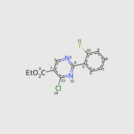 CCOC(=O)c1cnc(-c2ccccc2F)nc1Cl